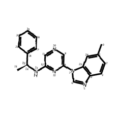 Cc1ccc2ncn(-c3cncc(N[C@@H](C)c4ccccc4)n3)c2c1